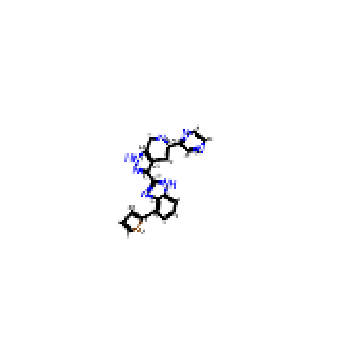 c1csc(-c2cccc3[nH]c(-c4n[nH]c5cnc(-c6cnccn6)cc45)nc23)c1